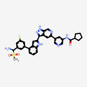 CS(=O)(=O)C(N)c1cc(F)cc(-c2cccc3[nH]c(-c4n[nH]c5cnc(-c6cncc(NC(=O)C7CCCC7)c6)cc45)cc23)c1